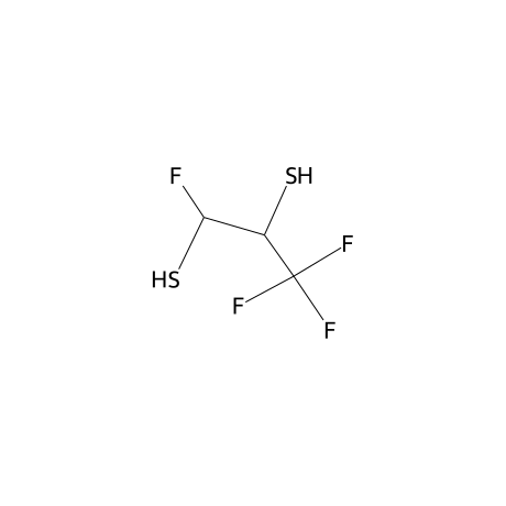 FC(S)C(S)C(F)(F)F